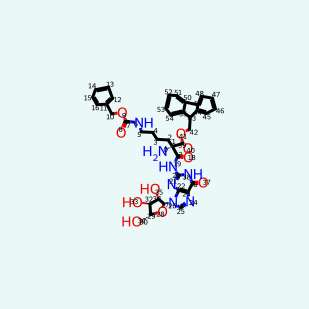 N[C@@](CCCCNC(=O)OCc1ccccc1)(C(=O)Nc1nc2c(ncn2[C@@H]2O[C@H](CO)[C@@H](O)[C@H]2O)c(=O)[nH]1)C(=O)OCC1c2ccccc2-c2ccccc21